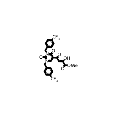 COC(=O)C(O)=CC(=O)c1cn(Cc2ccc(C(F)(F)F)cc2)c(=O)n(Cc2ccc(C(F)(F)F)cc2)c1=O